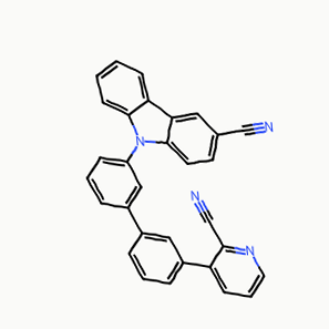 N#Cc1ccc2c(c1)c1ccccc1n2-c1cccc(-c2cccc(-c3cccnc3C#N)c2)c1